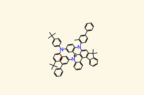 Cc1cc(-c2ccccc2)ccc1N1c2ccc(N(c3ccc(C(C)(C)C)cc3)c3ccc(C(C)(C)C)cc3)cc2B2c3c1cc1c(c3-c3ccccc3N2c2cccc(-c3ccccc3)c2)-c2ccccc2C1(C)C